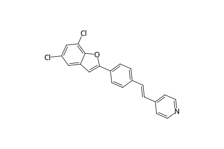 Clc1cc(Cl)c2oc(-c3ccc(C=Cc4ccncc4)cc3)cc2c1